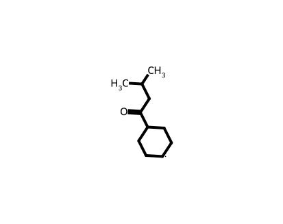 CC(C)CC(=O)C1CC[CH]CC1